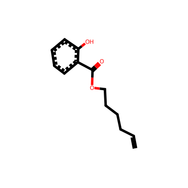 C=CCCCCOC(=O)c1ccccc1O